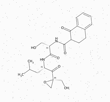 CC(C)C[C@H](NC(=O)[C@H](CO)NC(=O)C1CCc2ccccc2C1=O)C(=O)[C@@]1(CO)CO1